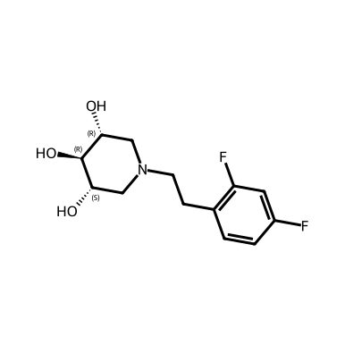 O[C@H]1[C@H](O)CN(CCc2ccc(F)cc2F)C[C@@H]1O